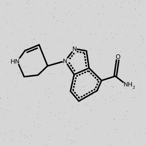 NC(=O)c1cccc2c1cnn2C1C=CNCC1